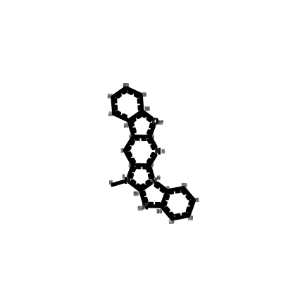 Cn1c2cc3c(nc2n2c4ccccc4nc12)oc1ccccc13